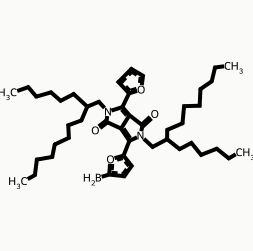 Bc1ccc(C2=C3C(=O)N(CC(CCCCCC)CCCCCCCC)C(c4ccco4)=C3C(=O)N2CC(CCCCCC)CCCCCCCC)o1